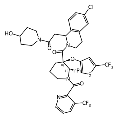 CCC[C@H]1N(C(=O)c2ncccc2C(F)(F)F)CCC[C@]1(Oc1csc(C(F)(F)F)c1)C(=O)N1CCc2cc(Cl)ccc2C1CC(=O)N1CCC(O)CC1